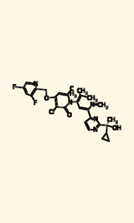 C=N/C(=C\C(=C(C)C)n1c(C)cc(OCc2ncc(F)cc2F)c(Cl)c1=O)c1ccnc([C@@](C)(O)C2CC2)n1